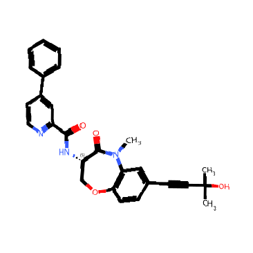 CN1C(=O)[C@@H](NC(=O)c2cc(-c3ccccc3)ccn2)COc2ccc(C#CC(C)(C)O)cc21